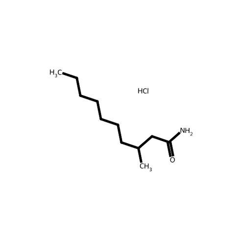 CCCCCCCC(C)CC(N)=O.Cl